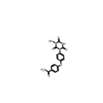 CCCn1c(=O)[nH]c(=O)n(-c2ccc(Oc3ccc(C(N)=O)cc3)cc2)c1=O